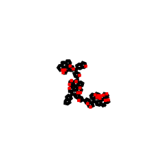 CC1(C)c2ccccc2C2(c3ccccc3-c3cc(N(c4ccc(CC5(C)c6ccccc6C6(c7ccccc7-c7c(N(c8ccc9ccccc9c8)c8ccc9cc(-c%10ccc%11c(N(c%12ccc%13c(c%12)C%12(c%14ccccc%14-c%14ccccc%14%12)c%12ccccc%12C%13(C)C)c%12cccc%13ccccc%12%13)cccc%11c%10)ccc9c8)cccc76)c6ccccc65)cc4)c4ccc5ccccc5c4)ccc32)c2ccccc21